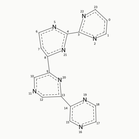 c1cnc(-c2nccc(-c3cncc(-c4cnccn4)n3)n2)nc1